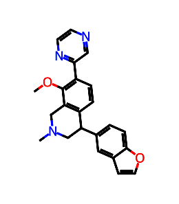 COc1c(-c2cnccn2)ccc2c1CN(C)CC2c1ccc2occc2c1